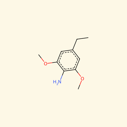 CCc1cc(OC)c(N)c(OC)c1